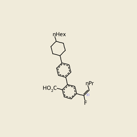 CCC/C=C(/F)c1ccc(C(=O)O)c(-c2ccc(C3CCC(CCCCCC)CC3)cc2)c1